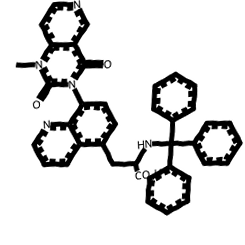 Cn1c(=O)n(-c2ccc(CC(NC(c3ccccc3)(c3ccccc3)c3ccccc3)C(=O)O)c3cccnc23)c(=O)c2cnccc21